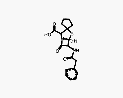 O=C(Cc1ccccc1)NC1C(=O)N2C(C(=O)O)C3(CCCC3)S[C@@H]12